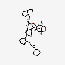 CC(C)(C)OC(=O)N1[C@@H]2CC[C@@H]1CN(c1nc(OCC34CCCN3CCC4)nc3c(F)c(-c4ccccc4CCOC4CCCCO4)ncc13)C2